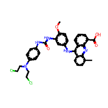 COc1ccc(Nc2c3cccc(C)c3nc3c(C(=O)O)cccc23)cc1NC(=O)Nc1ccc(N(CCCl)CCCl)cc1